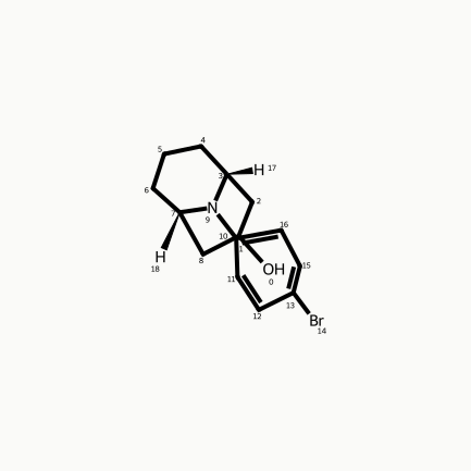 OC1C[C@H]2CCC[C@@H](C1)N2c1ccc(Br)cc1